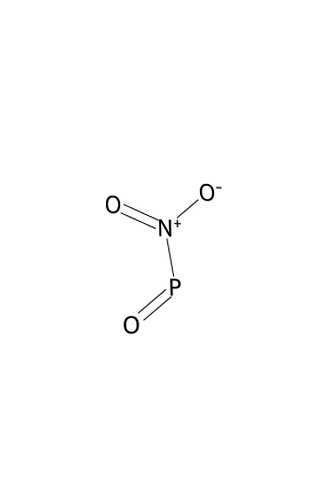 O=P[N+](=O)[O-]